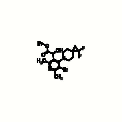 Cc1nc(C)c([C@H](O)C(=O)OC(C)C)c(N2CCC3(CC2)CC3(F)F)c1Br